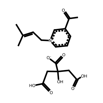 CC(=O)c1ccc[n+](CC=C(C)C)c1.O=C(O)CC(O)(CC(=O)O)C(=O)[O-]